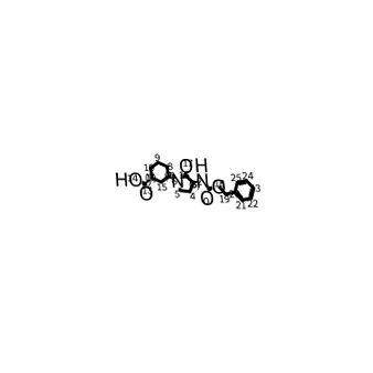 O=C(N[C@H]1CCN([C@@H]2CCC[C@H](C(=O)O)C2)C1=O)OCc1ccccc1